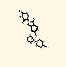 O=C1CCC(N2Cc3cc(O[C@H]4CCCC[C@@H]4N4CCC(F)CC4)ccc3C2=O)C(=O)N1